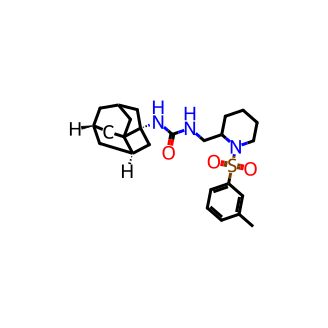 Cc1cccc(S(=O)(=O)N2CCCCC2CNC(=O)N[C@]23CC4C[C@H]5C[C@H](C2)C3(C4)C5)c1